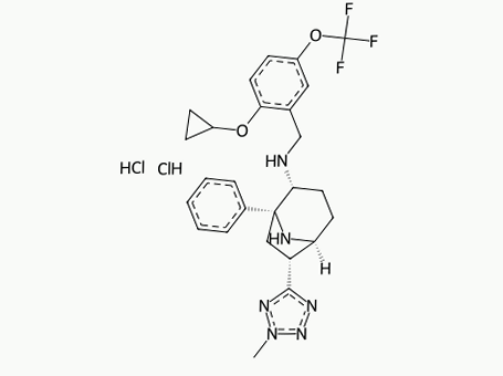 Cl.Cl.Cn1nnc([C@@H]2C[C@]3(c4ccccc4)N[C@H]2CC[C@H]3NCc2cc(OC(F)(F)F)ccc2OC2CC2)n1